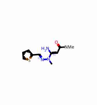 CNC(=O)/C=C(\N)N(C)/N=C/c1cccs1